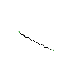 ClCC=CCCCCCCCCCCBr